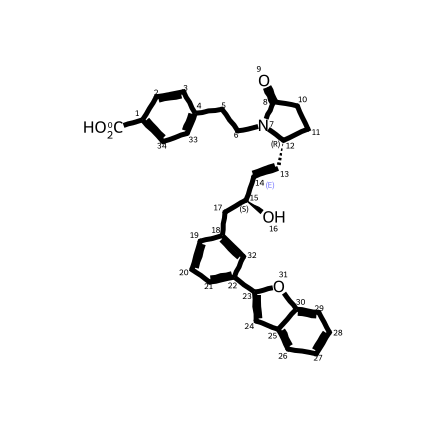 O=C(O)c1ccc(CCN2C(=O)CC[C@@H]2/C=C/[C@@H](O)Cc2cccc(-c3cc4ccccc4o3)c2)cc1